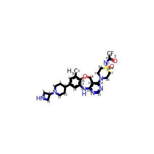 Cc1cc(C2CCN(C3CNC3)CC2)cc2c1OCc1c(ncnc1N1CCS(=O)(=NC(=O)C(F)(F)F)CC1)N2